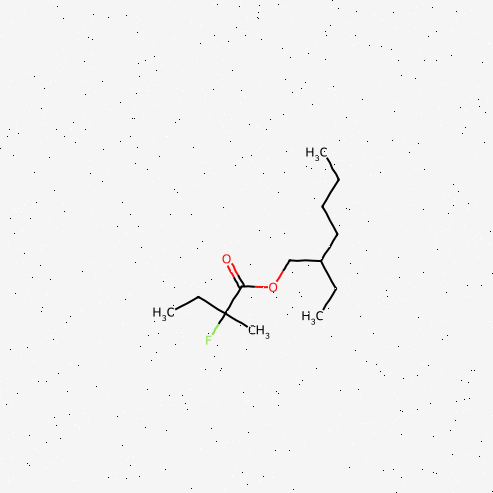 CCCCC(CC)COC(=O)C(C)(F)CC